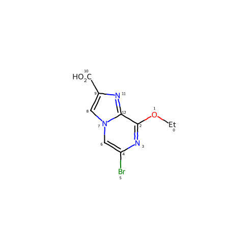 CCOc1nc(Br)cn2cc(C(=O)O)nc12